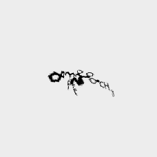 CCOC(=O)c1ccc(C(F)(F)F)n(CCCN2CC3(CCCC3)C2)c1=O